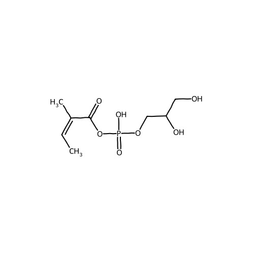 CC=C(C)C(=O)OP(=O)(O)OCC(O)CO